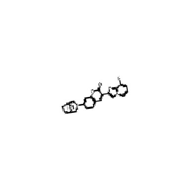 O=c1oc2cc(N3CC4CCC(C3)N4)ccc2cc1-c1cn2cccc(F)c2n1